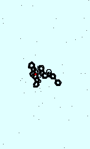 c1ccc(-c2ccc3oc4c(ccc5c4c4cccc(-n6c7ccccc7c7ccccc76)c4n5-c4cccc5c4sc4ccccc45)c3c2)cc1